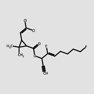 C#CC(OC(=O)C1C(C=C(Cl)Cl)C1(C)C)/C(F)=C/CCCCF